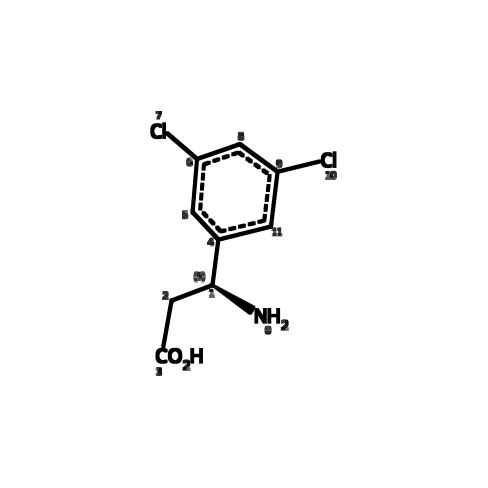 N[C@@H](CC(=O)O)c1cc(Cl)cc(Cl)c1